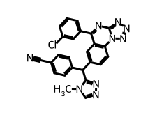 Cn1cnnc1C(c1ccc(C#N)cc1)c1ccc2c(c1)c(-c1cccc(Cl)c1)nc1nnnn12